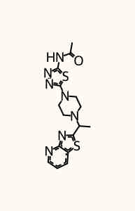 CC(=O)Nc1nnc(N2CCN(C(C)c3nc4ncccc4s3)CC2)s1